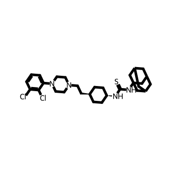 S=C(NC12CC3CC(CC(C3)C1)C2)N[C@H]1CC[C@H](CCN2CCN(c3cccc(Cl)c3Cl)CC2)CC1